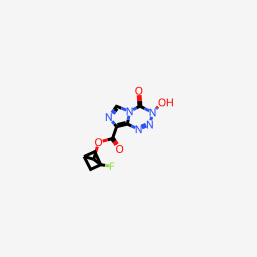 O=C(OC1C2CC1(F)C2)c1ncn2c(=O)n(O)nnc12